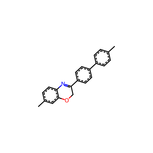 Cc1ccc(-c2ccc(C3=Nc4ccc(C)cc4OC3)cc2)cc1